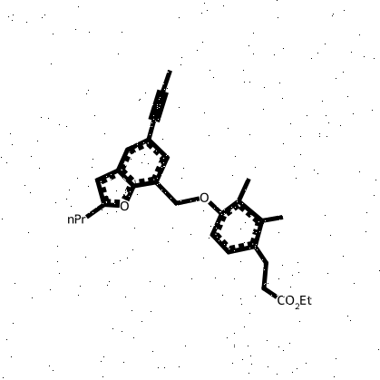 CC#Cc1cc(COc2ccc(CCC(=O)OCC)c(C)c2C)c2oc(CCC)cc2c1